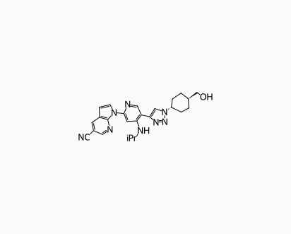 CC(C)Nc1cc(-n2ccc3cc(C#N)cnc32)ncc1-c1cn([C@H]2CC[C@H](CO)CC2)nn1